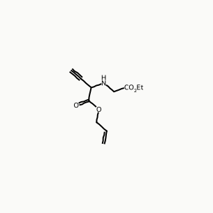 C#CC(NCC(=O)OCC)C(=O)OCC=C